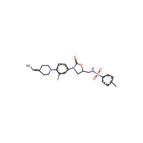 Cc1ccc(S(=O)(=O)NCC2CN(c3ccc(N4CCC(=CC#N)CC4)c(F)c3)C(=O)O2)cc1